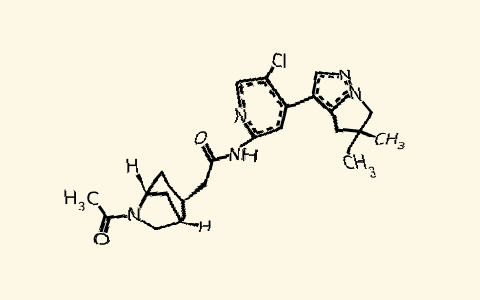 CC(=O)N1C[C@@H]2C[C@H]1C[C@H]2CC(=O)Nc1cc(-c2cnn3c2CC(C)(C)C3)c(Cl)cn1